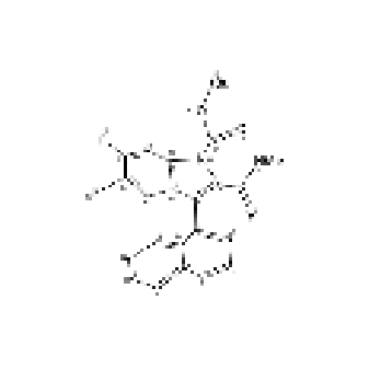 CNC(=O)c1c(-c2nccc3ccccc23)c2cc(F)c(F)cc2n1C(=O)OC(C)(C)C